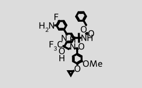 COc1cc(C(=O)NCC(O)(c2cc(C(C)(C)NC(=O)OCc3ccccc3)cc(-c3ccc(F)c(N)c3)n2)C(F)(F)F)ccc1OC1CC1